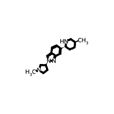 C[C@H]1CC[C@H](c2ccc3cn([C@@H]4CCN(C)C4)nc3c2)NC1